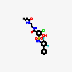 CC(=O)NCCNC(=O)c1cc(Cl)c(O)c(S(=O)(=O)Nc2cc(-c3ccccc3)c(F)cc2F)c1